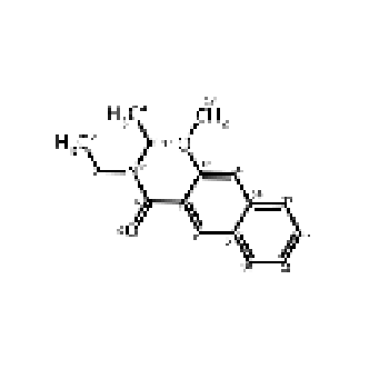 CCN(CC)C(=O)c1cc2ccccc2cc1OC